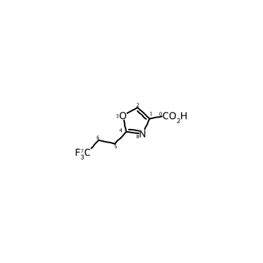 O=C(O)c1coc(CCC(F)(F)F)n1